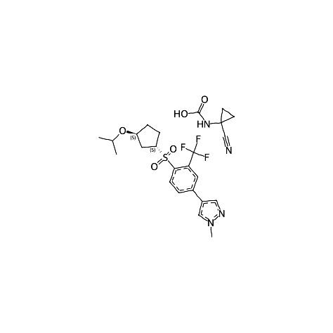 CC(C)O[C@H]1CC[C@H](S(=O)(=O)c2ccc(-c3cnn(C)c3)cc2C(F)(F)F)C1.N#CC1(NC(=O)O)CC1